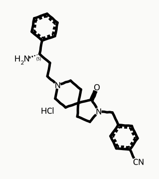 Cl.N#Cc1ccc(CN2CCC3(CCN(CC[C@H](N)c4ccccc4)CC3)C2=O)cc1